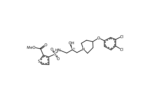 COC(=O)c1sccc1S(=O)(=O)NC[C@@H](O)CN1CCC(Oc2ccc(Cl)c(Cl)c2)CC1